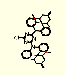 C=C1CC(C)C2(c3ccccc3C(c3nc(Cl)nc(N4c5ccccc5C5(c6ccccc64)C(C)CC(=C)CC5CC)n3)c3ccccc32)C(CC)C1